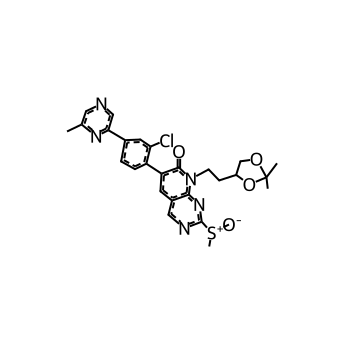 Cc1cncc(-c2ccc(-c3cc4cnc([S+](C)[O-])nc4n(CCC4COC(C)(C)O4)c3=O)c(Cl)c2)n1